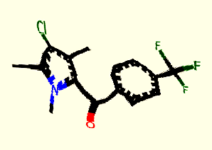 Cc1c(Cl)c(C)n(C)c1C(=O)c1ccc(C(F)(F)F)cc1